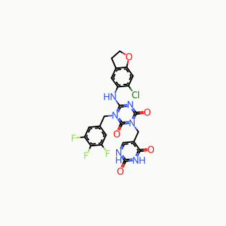 O=c1[nH]cc(Cn2c(=O)nc(Nc3cc4c(cc3Cl)OCC4)n(Cc3cc(F)c(F)c(F)c3)c2=O)c(=O)[nH]1